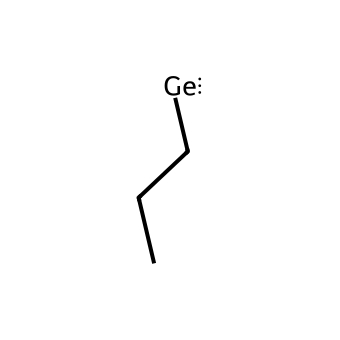 CC[CH2][Ge]